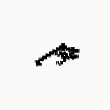 N.Nc1ccn(C[C@@H](CO)OCP(=O)(O)OCCCS(=O)(=O)CCCCCCCCCCCCCC2CCC2)c(=O)n1